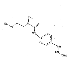 CCOCCN(C)C(=S)Nc1ccc(NNC=O)cc1